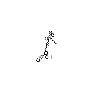 CCCC[C@@H](C)N(CC(OC)OC)C(=O)CCOCCCc1ccc(O)c(C2CN(C3CCCC3)C2)c1